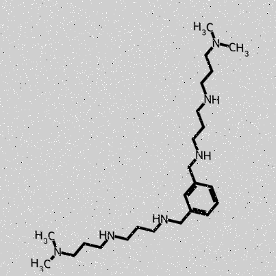 CN(C)CCCNCCCNCc1cccc(CNCCCNCCCN(C)C)c1